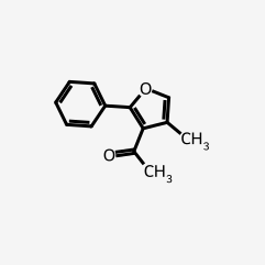 CC(=O)c1c(C)coc1-c1ccccc1